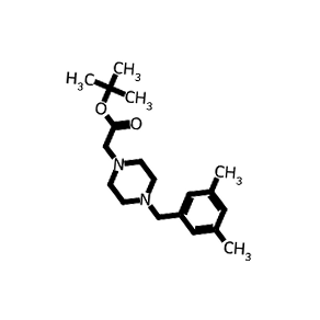 Cc1cc(C)cc(CN2CCN(CC(=O)OC(C)(C)C)CC2)c1